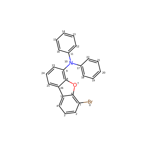 Brc1cccc2c1oc1c(N(c3ccccc3)c3ccccc3)cccc12